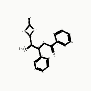 CCOC(=O)C(C1OC(C)O1)C(CC(=O)c1ccccc1)c1ccccc1